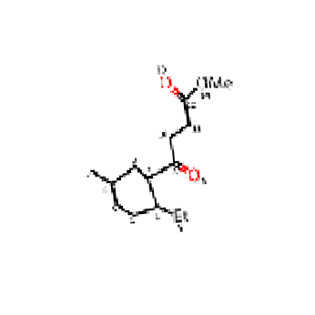 CCC1CCC(C)CC1C(=O)CCC(=O)OC